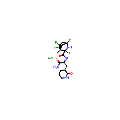 Cl.NC(=O)[C@H](C[C@@H]1CCCNC1=O)NC(=O)[C@H]1N[C@H]2CC[C@@H]1C(F)(F)C2